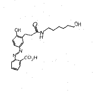 O=C(CCc1cc(N=Nc2ccccc2C(=O)O)ccc1O)NCCCCCCO